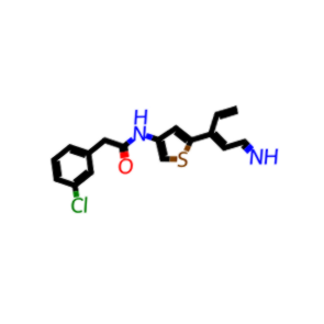 C=C/C(=C\C=N)c1cc(NC(=O)Cc2cccc(Cl)c2)cs1